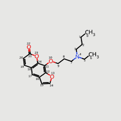 CCCCN(CC)CCCOc1c2occc2cc2ccc(=O)oc12